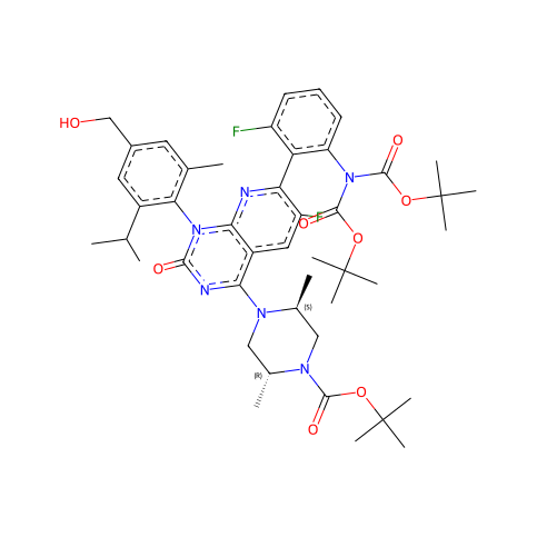 Cc1cc(CO)cc(C(C)C)c1-n1c(=O)nc(N2C[C@@H](C)N(C(=O)OC(C)(C)C)C[C@@H]2C)c2cc(F)c(-c3c(F)cccc3N(C(=O)OC(C)(C)C)C(=O)OC(C)(C)C)nc21